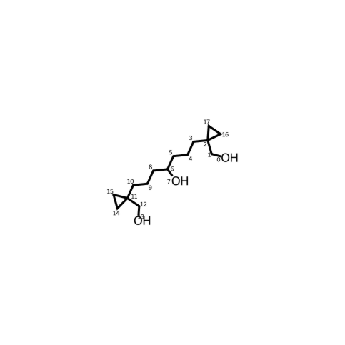 OCC1(CCCC(O)CCCC2(CO)CC2)CC1